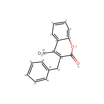 O=c1oc2ccccc2c([N+](=O)[O-])c1Cc1ccccc1